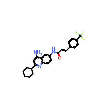 Nc1cc(C2CCCCC2)nc2ccc(NC(=O)C=Cc3ccc(C(F)(F)F)cc3)cc12